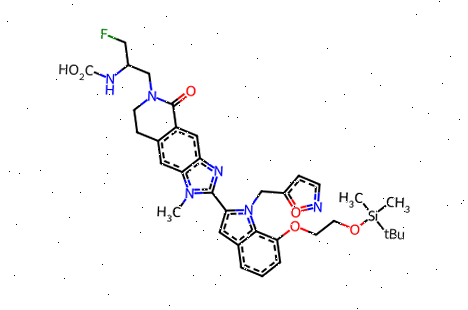 Cn1c(-c2cc3cccc(OCCO[Si](C)(C)C(C)(C)C)c3n2Cc2ccno2)nc2cc3c(cc21)CCN(CC(CF)NC(=O)O)C3=O